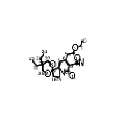 CCOC(=O)Cc1cc2n(c(=O)c1C#N)CCC21OCC(CC)(CC)CO1